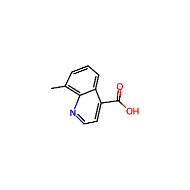 Cc1cccc2c(C(=O)O)ccnc12